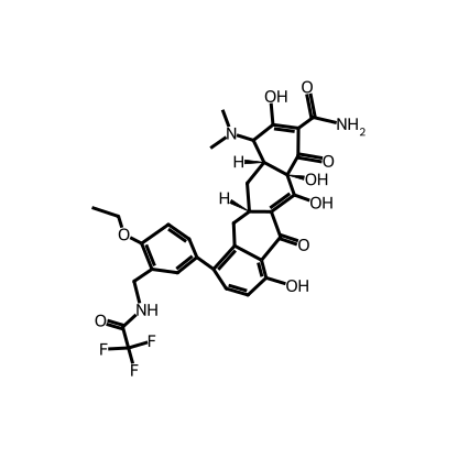 CCOc1ccc(-c2ccc(O)c3c2C[C@@H]2C[C@@H]4C(N(C)C)C(O)=C(C(N)=O)C(=O)[C@]4(O)C(O)=C2C3=O)cc1CNC(=O)C(F)(F)F